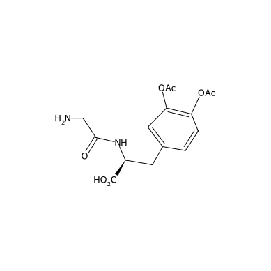 CC(=O)Oc1ccc(C[C@H](NC(=O)CN)C(=O)O)cc1OC(C)=O